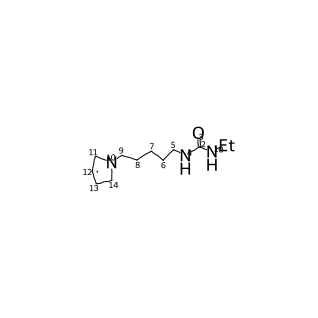 CCNC(=O)NCCCCCN1C[CH]CC1